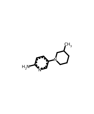 CC1CCCN(c2ccc(N)nc2)C1